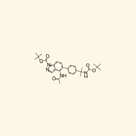 CC(=O)Nc1c(-c2ccc(C(C)(C)NC(=O)OC(C)(C)C)cc2)ccc2c1cnn2C(=O)OC(C)(C)C